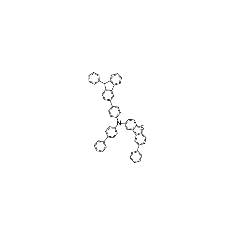 c1ccc(-c2ccc(N(c3ccc(-c4ccc5c(c4)-c4ccccc4C5c4ccccc4)cc3)c3ccc4sc5ccc(-c6ccccc6)cc5c4c3)cc2)cc1